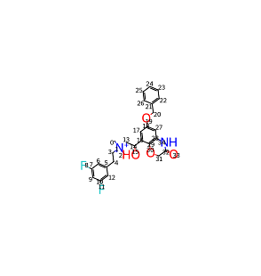 C[N+](C)(CCc1cc(F)cc(F)c1)CC(O)c1cc(OCc2ccccc2)cc2c1OCC(=O)N2